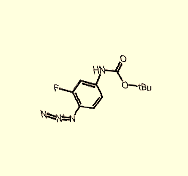 CC(C)(C)OC(=O)Nc1ccc(N=[N+]=[N-])c(F)c1